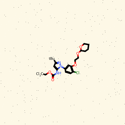 CC(C)(C)c1cc(NC(=O)OCC(Cl)(Cl)Cl)n(-c2ccc(Cl)c(OCCOC3CCCCO3)c2)n1